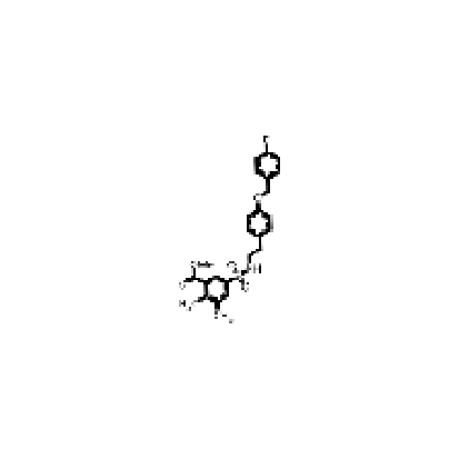 COC(=O)c1cc(S(=O)(=O)NCCc2ccc(OCc3ccc(F)cc3)cc2)cc(C)c1C